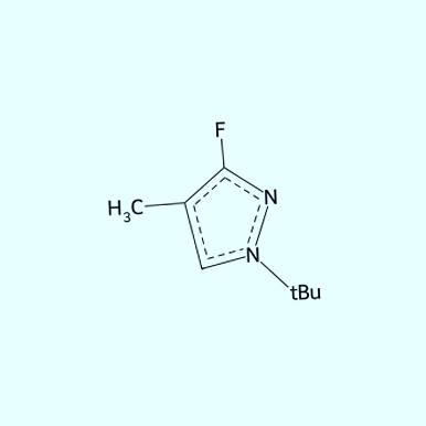 Cc1cn(C(C)(C)C)nc1F